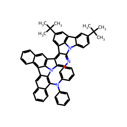 CC(C)(C)c1ccc2c(c1)c1cc(C(C)(C)C)cc3c4c5c6cc7ccccc7c7c8cc9ccccc9c(N(c9ccccc9)c9ccccc9)c8n(c5cnc4n2c13)c67